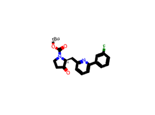 CC(C)(C)OC(=O)N1CCC(=O)[C@@H]1Cc1cccc(-c2cccc(F)c2)n1